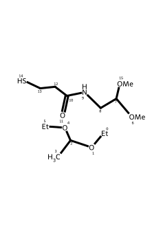 CCOC(C)OCC.COC(CNC(=O)CCS)OC